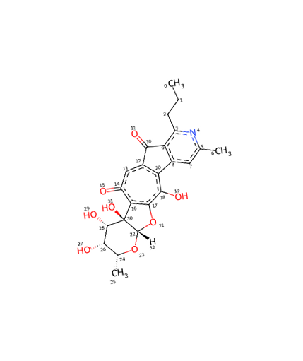 CCCc1nc(C)cc2c1C(=O)c1cc(=O)c3c(c(O)c1-2)O[C@@H]1O[C@H](C)[C@H](O)[C@H](O)[C@]31O